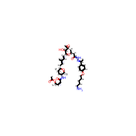 CC(=O)O[C@@H](C)/C=C\C(=O)N[C@@H]1C[C@H](C)[C@H](C/C=C(C)/C=C/[C@H]2O[C@H](CC(=O)N/N=C(\C)c3ccc(OCCCCCN)cc3)C[C@@]3(CO3)[C@@H]2O)O[C@@H]1C